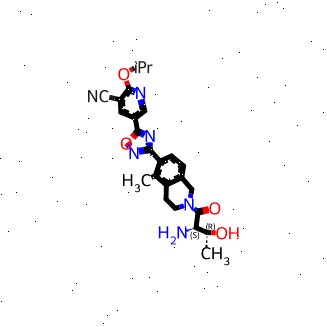 Cc1c(-c2noc(-c3cnc(OC(C)C)c(C#N)c3)n2)ccc2c1CCN(C(=O)[C@@H](N)[C@@H](C)O)C2